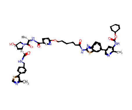 Cc1ncc(-c2ccc3nc(NC(=O)CCCCCOc4ccc(C(=O)N[C@H](C(=O)N5C[C@H](O)C[C@H]5C(=O)NCc5ccc(-c6scnc6C)cc5)C(C)(C)C)cn4)sc3c2)cc1NC(=O)OC1CCCCC1